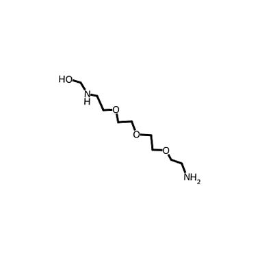 NCCOCCOCCOCCNCO